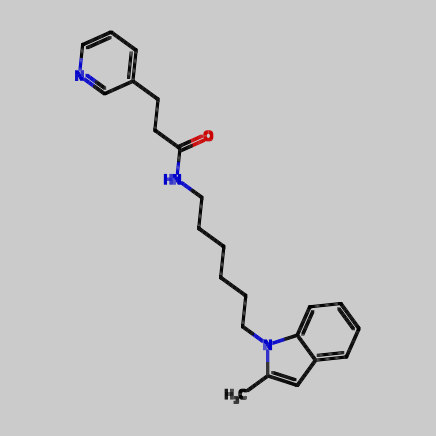 Cc1cc2ccccc2n1CCCCCCNC(=O)CCc1cccnc1